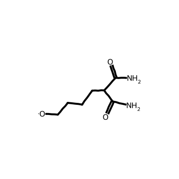 NC(=O)C(CCCC[O])C(N)=O